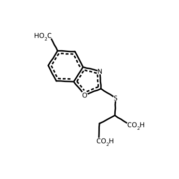 O=C(O)CC(Sc1nc2cc(C(=O)O)ccc2o1)C(=O)O